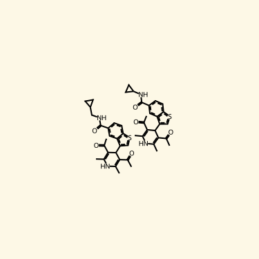 CC(=O)C1=C(C)NC(C)=C(C(C)=O)C1c1csc2ccc(C(=O)NC3CC3)cc12.CC(=O)C1=C(C)NC(C)=C(C(C)=O)C1c1csc2ccc(C(=O)NCC3CC3)cc12